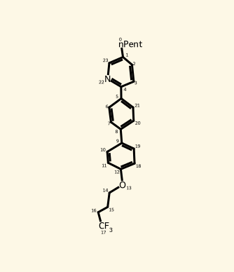 CCCCCc1ccc(-c2ccc(-c3ccc(OCCCC(F)(F)F)cc3)cc2)nc1